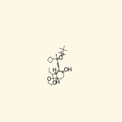 CCC1[C@@H]2[C@@H](C#C[C@@](C)(O[Si](C)(C)C(C)(C)C)C3CCC3)[C@H](O)CC[C@@H]2C12OCCO2